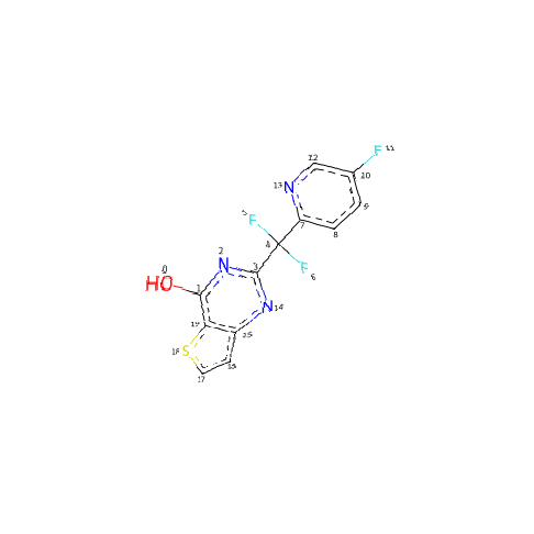 Oc1nc(C(F)(F)c2ccc(F)cn2)nc2ccsc12